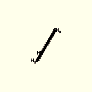 CCCCCCCCCCCCCCCCCCCCCCCCNCCCCCCCC